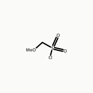 COCS(=O)(=O)Cl